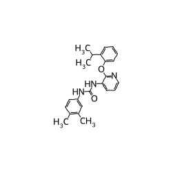 Cc1ccc(NC(=O)Nc2cccnc2Oc2ccccc2C(C)C)cc1C